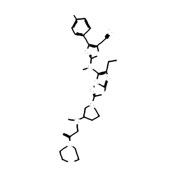 CCc1nc2sc(N3CCC(N(C)CC(=O)N4CCOCC4)C3)nn2c1N(C)c1nc(-c2ccc(F)cc2)c(C#N)s1